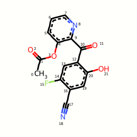 CC(=O)Oc1cccnc1C(=O)c1cc(F)c(C#N)cc1O